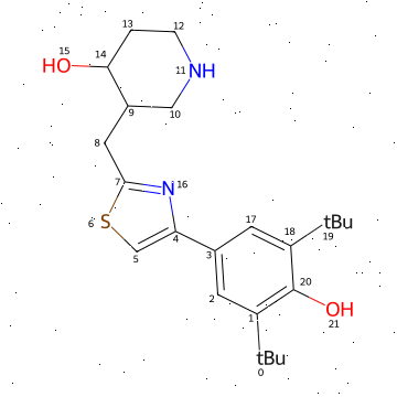 CC(C)(C)c1cc(-c2csc(CC3CNCCC3O)n2)cc(C(C)(C)C)c1O